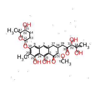 CO[C@@H]1C(=O)c2c(cc3cc(O[C@H]4CC[C@H](O)C(C)O4)c(C)c(O)c3c2O)CC1CC(=O)[C@@H](O)[C@@H](C)O